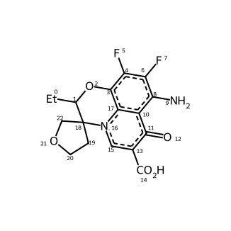 CCC1Oc2c(F)c(F)c(N)c3c(=O)c(C(=O)O)cn(c23)C12CCOC2